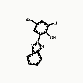 CCC(C)c1cc(Cl)c(O)c(-n2nc3ccccc3n2)c1